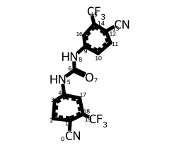 N#Cc1ccc(NC(=O)Nc2ccc(C#N)c(C(F)(F)F)c2)cc1C(F)(F)F